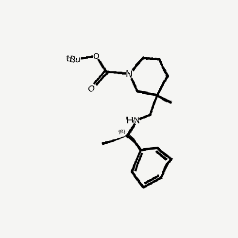 C[C@@H](NCC1(C)CCCN(C(=O)OC(C)(C)C)C1)c1ccccc1